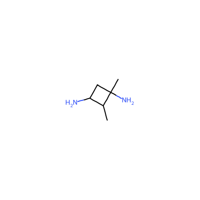 CC1C(N)CC1(C)N